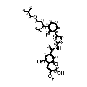 CO/C(=C/c1c(Cl)cc(C(=O)Nc2nc(-c3cccc(C(CCOCC(C)C)OC)c3F)cs2)cc1Cl)C(=O)O